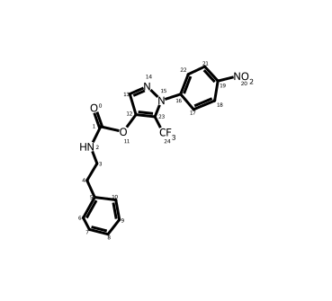 O=C(NCCc1ccccc1)Oc1cnn(-c2ccc([N+](=O)[O-])cc2)c1C(F)(F)F